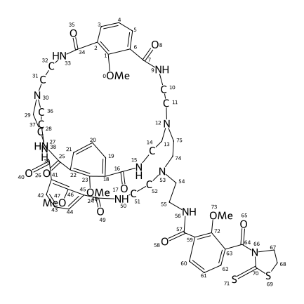 COc1c2cccc1C(=O)NCCN1CCNC(=O)c3cccc(c3OC)C(=O)NCCN(CCNC2=O)CCNC(=O)c2cccc(c2OC)C(=O)NCCN(CCNC(=O)c2cccc(C(=O)N3CCSC3=S)c2OC)CC1